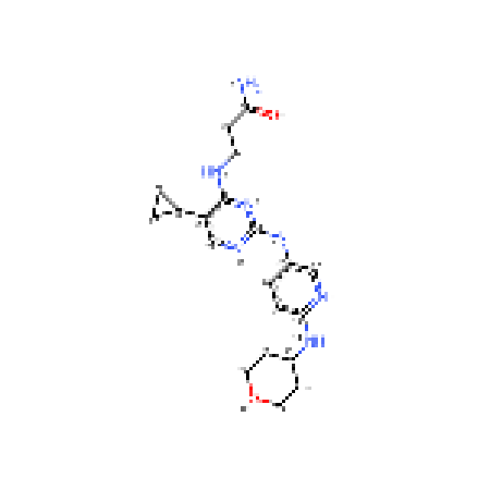 NC(=O)CCNc1nc(Nc2ccc(NC3CCOCC3)nc2)ncc1C1CC1